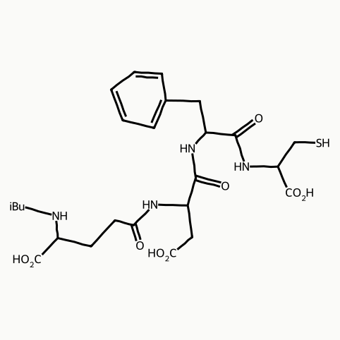 CCC(C)NC(CCC(=O)NC(CC(=O)O)C(=O)NC(Cc1ccccc1)C(=O)NC(CS)C(=O)O)C(=O)O